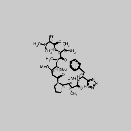 CC[C@H](C)[C@@H]([C@@H](CC(=O)N1CCC[C@H]1[C@H](OC)[C@@H](C)C(=O)N[C@@H](Cc1ccccc1)c1nnn[nH]1)OC)N(C)C(=O)[C@@H](NC(=O)[C@H](C(C)C)N(C)C)[C@H](C)N